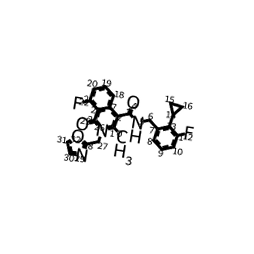 Cc1c(C(=O)NCc2cccc(F)c2C2CC2)c2cccc(F)c2c(=O)n1Cc1ncco1